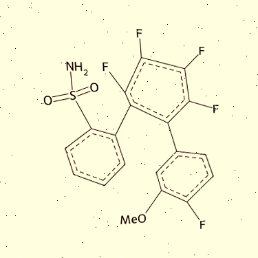 COc1cc(-c2c(F)c(F)c(F)c(F)c2-c2ccccc2S(N)(=O)=O)ccc1F